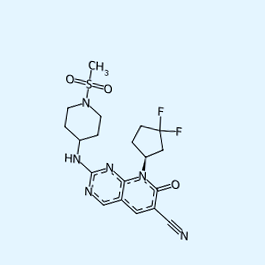 CS(=O)(=O)N1CCC(Nc2ncc3cc(C#N)c(=O)n([C@H]4CCC(F)(F)C4)c3n2)CC1